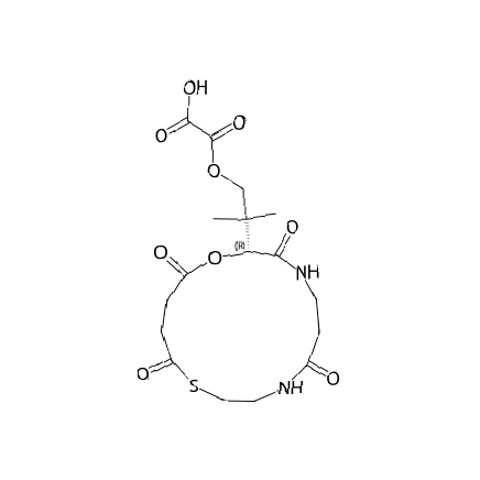 CC(C)(COC(=O)C(=O)O)[C@H]1OC(=O)CCC(=O)SCCNC(=O)CCNC1=O